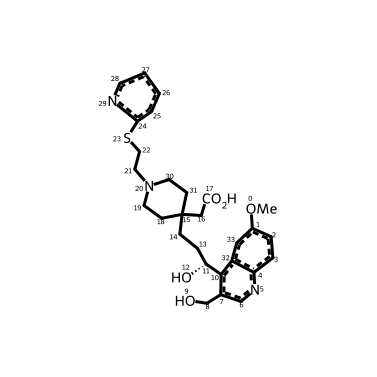 COc1ccc2ncc(CO)c([C@H](O)CCC3(CC(=O)O)CCN(CCSc4ccccn4)CC3)c2c1